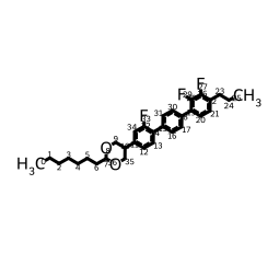 CCCCCCCC1OCC(c2ccc(-c3ccc(-c4ccc(CCC)c(F)c4F)cc3)c(F)c2)CO1